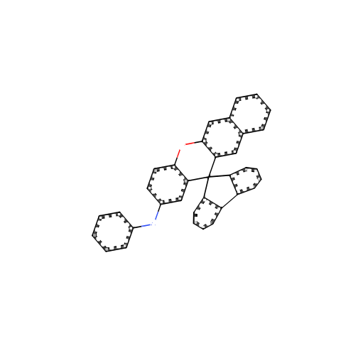 c1ccc(Nc2ccc3c(c2)C2(c4cc5ccccc5cc4O3)c3ccccc3-c3ccccc32)cc1